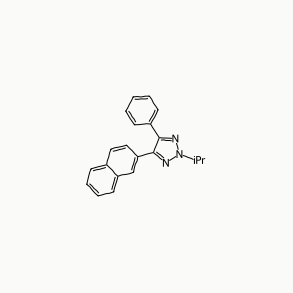 CC(C)n1nc(-c2ccccc2)c(-c2ccc3ccccc3c2)n1